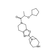 CC(OC1CCCC1)C(=O)N1CCc2nc(N3C4CCC3CNC4)sc2C1